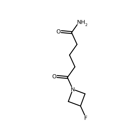 NC(=O)CCCC(=O)N1CC(F)C1